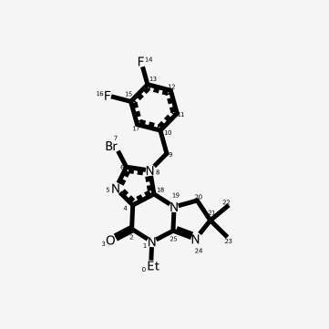 CCN1C(=O)c2nc(Br)n(Cc3ccc(F)c(F)c3)c2N2CC(C)(C)N=C12